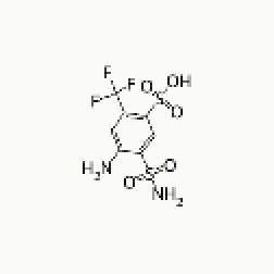 Nc1cc(C(F)(F)F)c(S(=O)(=O)O)cc1S(N)(=O)=O